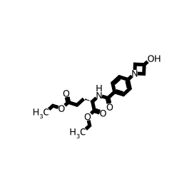 CCOC(=O)CC[C@H](NC(=O)c1ccc(N2CC(O)C2)cc1)C(=O)OCC